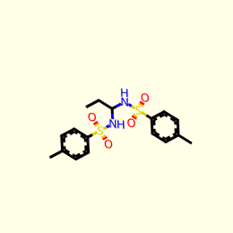 CCC(NS(=O)(=O)c1ccc(C)cc1)NS(=O)(=O)c1ccc(C)cc1